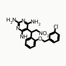 Nc1nc(N)c(C(C[N+](=O)[O-])c2ccccc2OCc2cccc(Cl)c2)c(N)n1